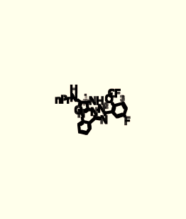 CCCNC(=O)[C@@](C)(N)c1nc2ccccc2c2nc(-c3cc(F)ccc3OC(F)(F)F)nn12